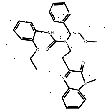 CCOc1ccccc1NC(=O)N(CCc1nc2ccccc2n(C)c1=O)[C@@H](COC)c1ccccc1